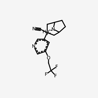 CN1C2CCC1CC(C#N)(c1cncc(OCC(F)(F)F)c1)C2